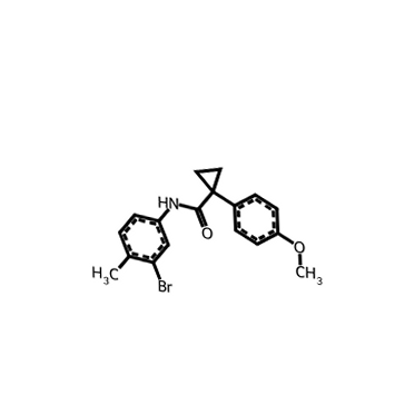 COc1ccc(C2(C(=O)Nc3ccc(C)c(Br)c3)CC2)cc1